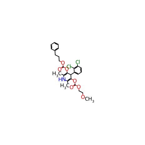 COCCOC(=O)OC1=C(C)NC(C)=C(OC(=O)OCCCc2ccccc2)C1c1cccc(Cl)c1Cl